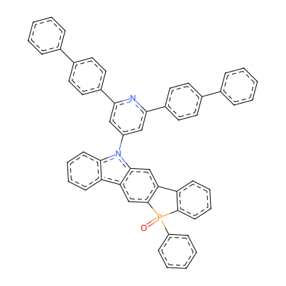 O=P1(c2ccccc2)c2ccccc2-c2cc3c(cc21)c1ccccc1n3-c1cc(-c2ccc(-c3ccccc3)cc2)nc(-c2ccc(-c3ccccc3)cc2)c1